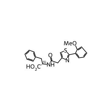 COc1ccccc1-c1nc(CC(=O)N[C@@H](Cc2ccccc2)C(=O)O)cs1